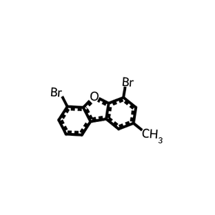 Cc1cc(Br)c2oc3c(Br)cccc3c2c1